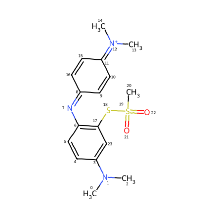 CN(C)c1ccc(N=C2C=CC(=[N+](C)C)C=C2)c(SS(C)(=O)=O)c1